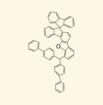 c1ccc(-c2ccc(C(c3ccc(-c4ccccc4)cc3)c3cccc4c3oc3c5c(ccc34)C3(c4ccccc4-c4ccccc43)c3ccccc3-5)cc2)cc1